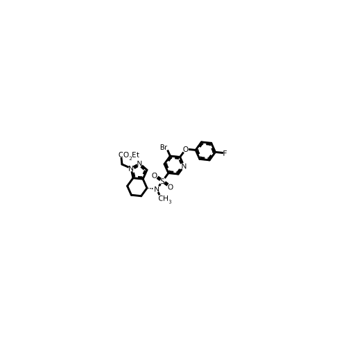 CCOC(=O)Cn1ncc2c1CCC[C@H]2N(C)S(=O)(=O)c1cnc(Oc2ccc(F)cc2)c(Br)c1